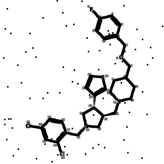 Fc1ccc(COCC2CCN(C[C@H]3CN(Cc4ccc(Cl)cc4Cl)C[C@@H]3c3ccsc3)CC2)cc1